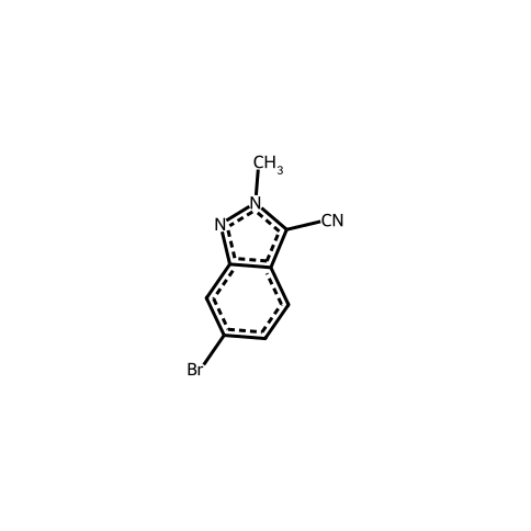 Cn1nc2cc(Br)ccc2c1C#N